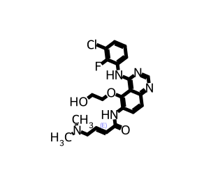 CN(C)C/C=C/C(=O)Nc1ccc2ncnc(Nc3cccc(Cl)c3F)c2c1OCCO